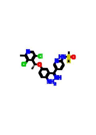 Cc1ncc(Cl)c([C@@H](C)Oc2ccc(N)c(C(=N)c3ccc(N[SH](C)(C)=O)nc3)c2)c1Cl